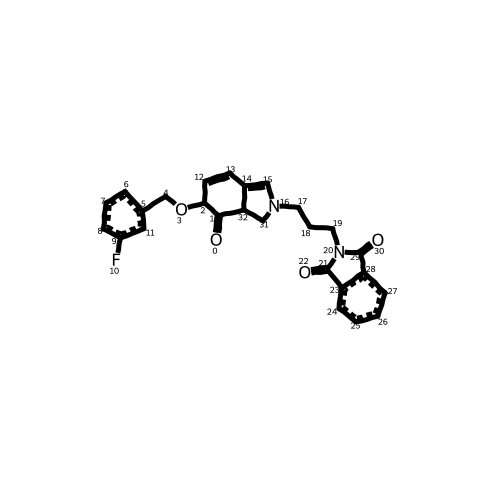 O=C1C(OCc2cccc(F)c2)C=CC2=CN(CCCN3C(=O)c4ccccc4C3=O)CC12